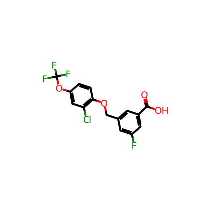 O=C(O)c1cc(F)cc(COc2ccc(OC(F)(F)F)cc2Cl)c1